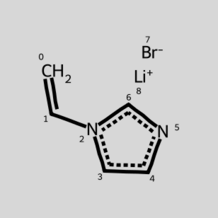 C=Cn1ccnc1.[Br-].[Li+]